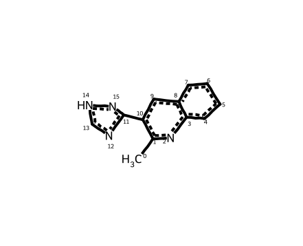 Cc1nc2ccccc2cc1-c1nc[nH]n1